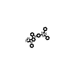 c1ccc(-c2nc(-c3ccccc3)nc(-c3ccc(-n4c5ccccc5c5c6c7ncncc7n(-c7ccccc7)c6ccc54)cc3)n2)cc1